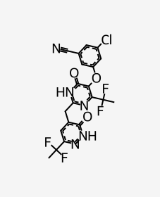 CC(F)(F)c1cc(Cc2nc(C(C)(F)F)c(Oc3cc(Cl)cc(C#N)c3)c(=O)[nH]2)c(=O)[nH]n1